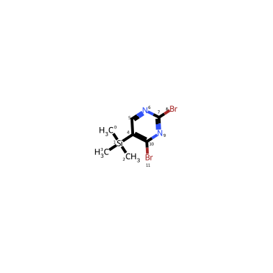 C[Si](C)(C)c1cnc(Br)nc1Br